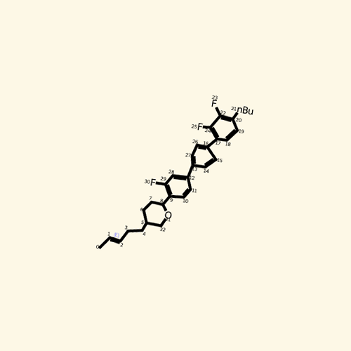 C/C=C/CCC1CCC(c2ccc(-c3ccc(-c4ccc(CCCC)c(F)c4F)cc3)cc2F)OC1